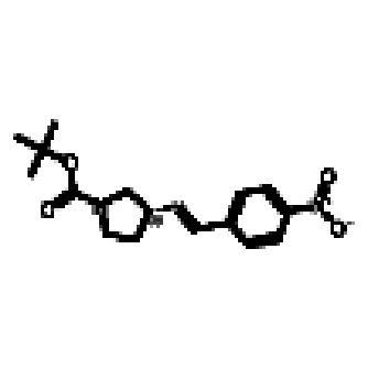 CC(C)(C)OC(=O)N1CC[C@@H](C=Cc2ccc([N+](=O)[O-])cc2)C1